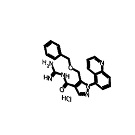 Cl.N=C(N)NC(=O)c1cnn(-c2cccc3ncccc23)c1COCc1ccccc1